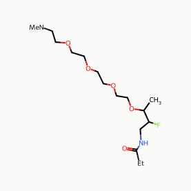 CCC(=O)NCC(F)C(C)OCCOCCOCCOCCNC